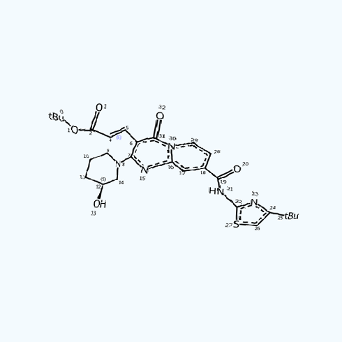 CC(C)(C)OC(=O)/C=C/c1c(N2CCC[C@H](O)C2)nc2cc(C(=O)Nc3nc(C(C)(C)C)cs3)ccn2c1=O